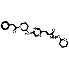 O=C(C=Cc1cnc(N[C@@H]2CCCN(C(=O)Cc3ccccc3)C2)cn1)NOC1CCCCO1